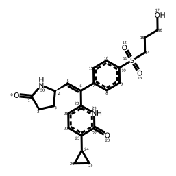 O=C1CC[C@H](C=C(c2ccc(S(=O)(=O)CCCO)cc2)c2ccc(C3CC3)c(=O)[nH]2)N1